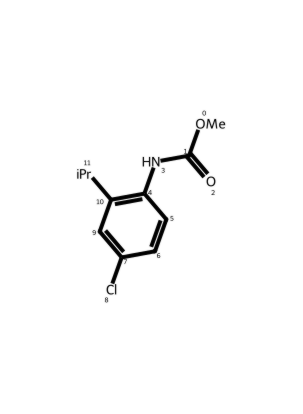 COC(=O)Nc1ccc(Cl)cc1C(C)C